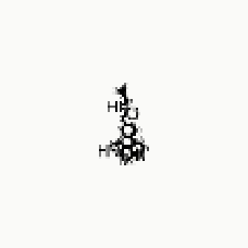 O=C(CC1CCC(c2ccnc3cnc4[nH]ccc4c23)CC1)NCC1CC1